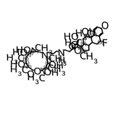 CC[C@H]1OC(=O)[C@H](C)[C@@H](O)[C@H](C)[C@@H](O)[C@]2(O)C[C@@]2(C)CN(CCCNCCC(=O)O[C@]2(C(=O)CO)[C@H](C)CC3C4C[C@H](F)C5=CC(=O)C=C[C@]5(C)C4[C@@H](O)C[C@@]32C)[C@H](C)[C@@H](O)[C@]1(C)O